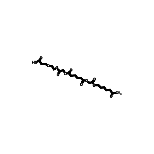 CC(=O)CCCCCOC(=O)COC(=O)CCCCC(=O)OCC(=O)OCCCCCC(=O)O